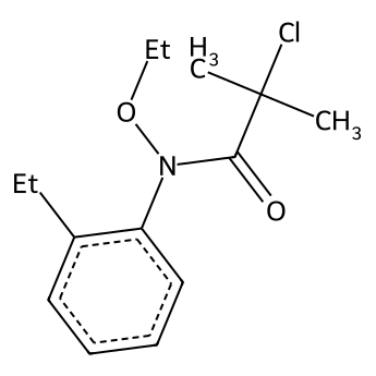 CCON(C(=O)C(C)(C)Cl)c1ccccc1CC